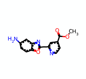 COC(=O)c1ccnc(-c2nc3cc(N)ccc3o2)c1